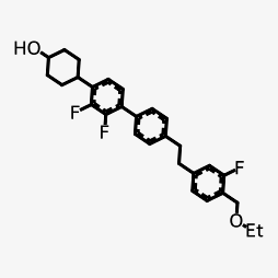 CCOCc1ccc(CCc2ccc(-c3ccc(C4CCC(O)CC4)c(F)c3F)cc2)cc1F